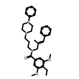 CCc1c(OC)cc(C(=O)N(CCCN2CCN(c3ccccc3)CC2)C/C(C)=C/c2ccccc2)cc1OC